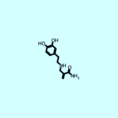 C=C(CNCCc1ccc(O)c(O)c1)C(N)=O